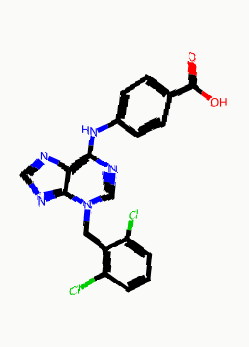 O=C(O)c1ccc(Nc2ncn(Cc3c(Cl)cccc3Cl)c3ncnc2-3)cc1